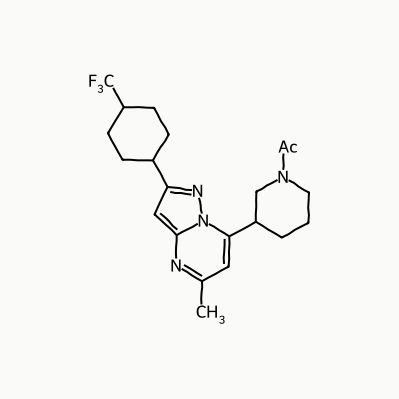 CC(=O)N1CCCC(c2cc(C)nc3cc(C4CCC(C(F)(F)F)CC4)nn23)C1